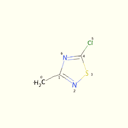 [CH2]c1nsc(Cl)n1